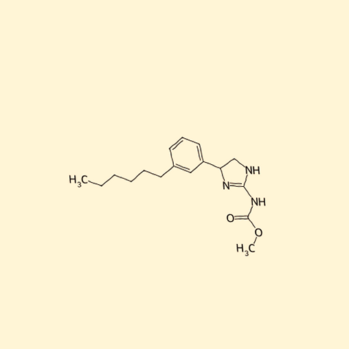 CCCCCCc1cccc(C2CNC(NC(=O)OC)=N2)c1